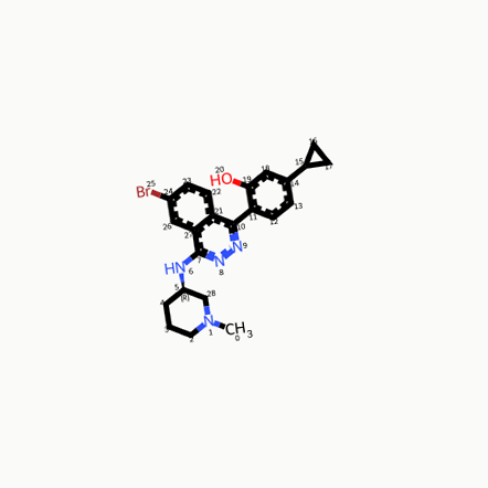 CN1CCC[C@@H](Nc2nnc(-c3ccc(C4CC4)cc3O)c3ccc(Br)cc23)C1